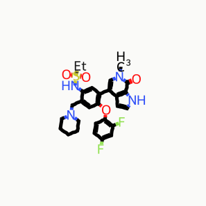 CCS(=O)(=O)Nc1cc(-c2cn(C)c(=O)c3[nH]ccc23)c(Oc2ccc(F)cc2F)cc1CN1CCCCC1